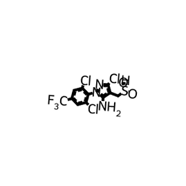 Nc1c(C[SH](=O)=O)c(Cl)nn1-c1c(Cl)cc(C(F)(F)F)cc1Cl